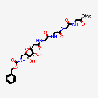 COC(=O)CNC(=O)CNC(=O)CNC(=O)CNC(=O)C[C@@H]1O[C@H](CNC(=O)OCc2ccccc2)[C@@H](O)[C@H]1O